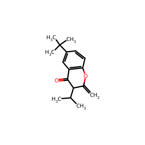 C=C1Oc2ccc(C(C)(C)C)cc2C(=O)C1C(C)C